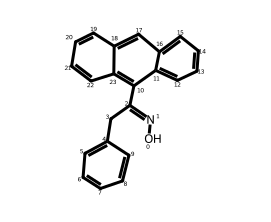 ON=C(Cc1ccccc1)c1c2ccccc2cc2ccccc12